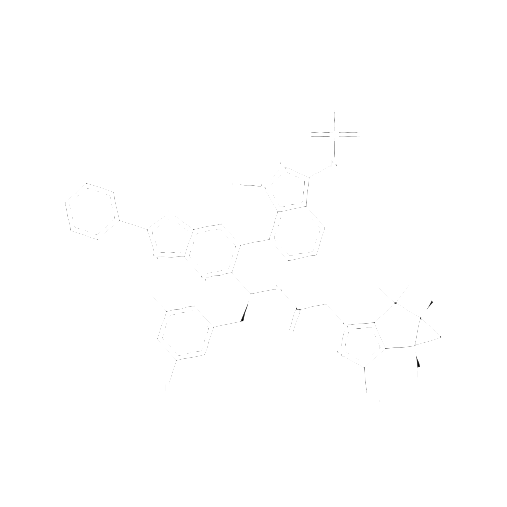 Cn1nc(NS(C)(=O)=O)c2cccc(-c3cc4sc(-c5ccccc5)nc4nc3[C@H](Cc3cc(F)cc(F)c3)NC(=O)Cn3nc(C(F)(F)F)c4c3C(F)(F)[C@@H]3C[C@H]43)c21